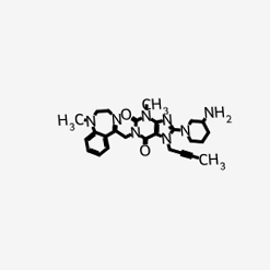 CC#CCn1c(N2CCCC(N)C2)nc2c1c(=O)n(CC1=NCCN(C)c3ccccc31)c(=O)n2C